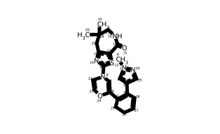 Cn1cc(C2=C(C3=CN(c4nc5c(s4)C(=O)NCC(C)(C)C5)C=CO3)CCC=C2)cn1